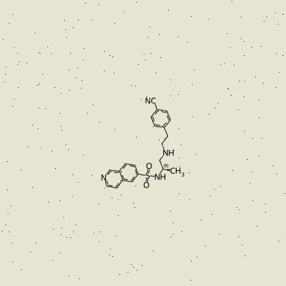 C[C@H](CNCCc1ccc(C#N)cc1)NS(=O)(=O)c1ccc2cnccc2c1